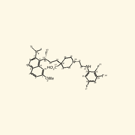 COc1ccc2ncc(N(C)C)c([C@H](F)CCC3(C(=O)O)CCN(CCNc4cc(F)cc(F)c4F)CC3)c2c1